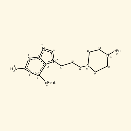 CCCCCc1nc(N)nc2ncn(CCCN3CCN(C(C)(C)C)CC3)c12